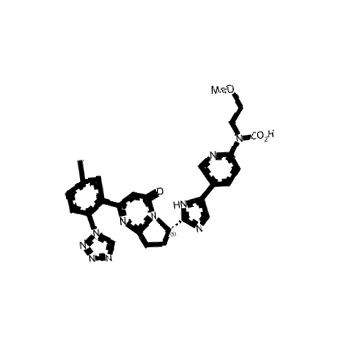 COCCN(C(=O)O)c1ccc(-c2cnc([C@@H]3CCc4nc(-c5cc(C)ccc5-n5cnnn5)cc(=O)n43)[nH]2)cn1